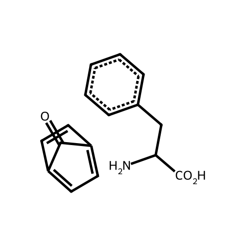 NC(Cc1ccccc1)C(=O)O.O=C1C2=CC=C1C=C2